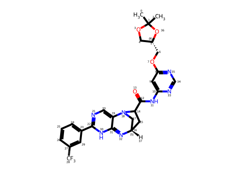 CC1(C)OC[C@@H](COc2cc(NC(=O)C3C[C@H]4CN3C3=CN=C(c5cccc(C(F)(F)F)c5)NC3=N4)ncn2)O1